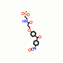 CS(=O)(=O)CCNC(=O)CCOc1ccc(C(=O)c2ccc(N=C=O)cc2)cc1